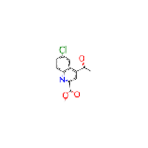 COC(=O)c1cc(C(C)=O)c2cc(Cl)ccc2n1